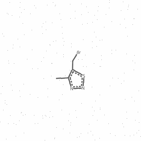 Cc1nnsc1CBr